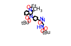 CCC(=O)N1c2ccccc2[C@H](N(C(=O)OC(C)(C)C)c2ccc(-c3nnc(CNC(=O)OC(C)(C)C)o3)cc2)C[C@@H]1C